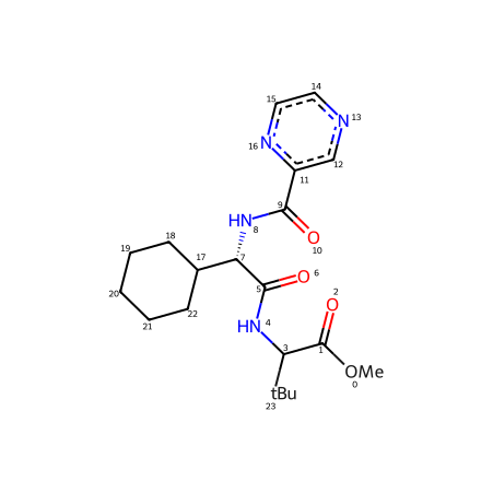 COC(=O)C(NC(=O)[C@@H](NC(=O)c1cnccn1)C1CCCCC1)C(C)(C)C